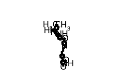 CC1(C)CCc2c(-c3cc4ccc(C(=O)N5CCN(CCCCc6ccc(C7CCC(=O)NC7=O)cc6)CC5)cc4[nH]3)n[nH]c2C1